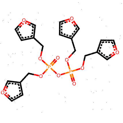 O=P(OCc1ccoc1)(OCc1ccoc1)OP(=O)(OCc1ccoc1)OCc1ccoc1